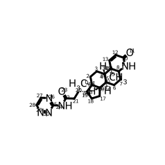 C[C@]12CC[C@H]3[C@@H](CCC4NC(=O)C=C[C@@]43C)[C@@H]1CC[C@@H]2CCC(=O)Nc1nccnn1